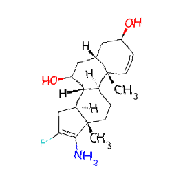 C[C@]12C=C[C@H](O)C[C@H]1C[C@H](O)[C@@H]1[C@@H]2CC[C@]2(C)C(N)=C(F)C[C@@H]12